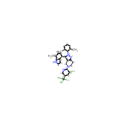 Cc1cccc(C)c1-n1nc2c(c1-c1ccc(C)c3[nH]ccc13)CN(c1ncc(C(F)(F)F)cc1F)CC2